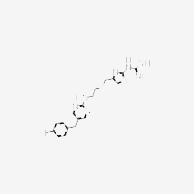 N=C(N)Nc1nc(CSCCNc2ncc(Cc3ccc(Cl)cc3)cn2)cs1